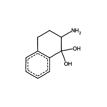 NC1CCc2ccccc2C1(O)O